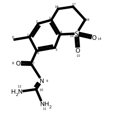 Cc1cc2c(cc1C(=O)N=C(N)N)S(=O)(=O)CCC2